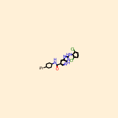 CC(C)C1CCC(NC(=O)c2cnc3[nH]c(Nc4c(Cl)cccc4Cl)nc3c2)CC1